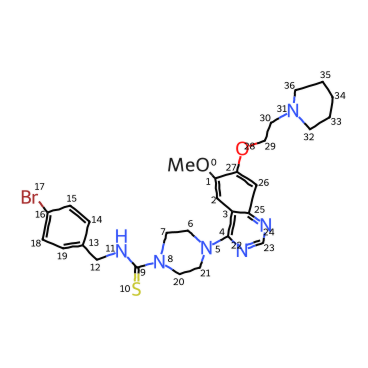 COc1cc2c(N3CCN(C(=S)NCc4ccc(Br)cc4)CC3)ncnc2cc1OCCN1CCCCC1